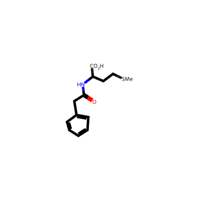 CSCCC(NC(=O)Cc1ccccc1)C(=O)O